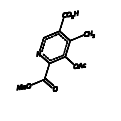 COC(=O)c1ncc(C(=O)O)c(C)c1OC(C)=O